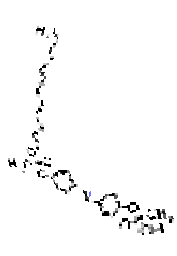 CCCCCCCCCCCCOP(C)(=O)Oc1ccc(/C=C/c2ccc(OP(C)(=O)O)cc2)cc1